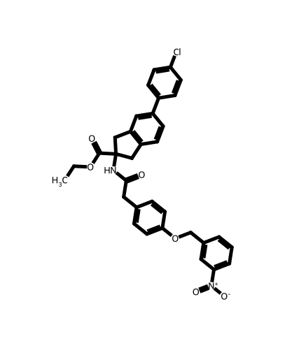 CCOC(=O)C1(NC(=O)Cc2ccc(OCc3cccc([N+](=O)[O-])c3)cc2)Cc2ccc(-c3ccc(Cl)cc3)cc2C1